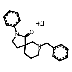 Cl.O=C1N(c2ccccc2)CCC12CCCN(Cc1ccccc1)C2